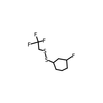 FC1CCCC(SSCC(F)(F)F)C1